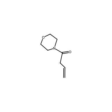 C=C[CH]C(=O)N1CCOCC1